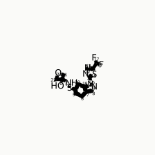 OC1(NSc2ccc3cnn(-c4nnc(C(F)F)s4)c3c2)COC1